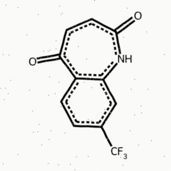 O=c1ccc(=O)c2ccc(C(F)(F)F)cc2[nH]1